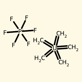 F[P-](F)(F)(F)(F)F.[CH2]=[U](=[CH2])(=[CH2])(=[CH2])=[CH2]